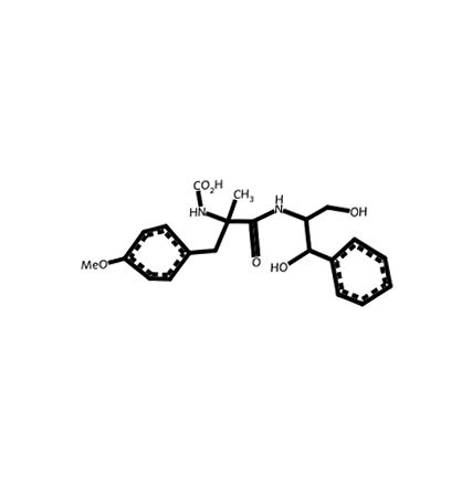 COc1ccc(CC(C)(NC(=O)O)C(=O)NC(CO)C(O)c2ccccc2)cc1